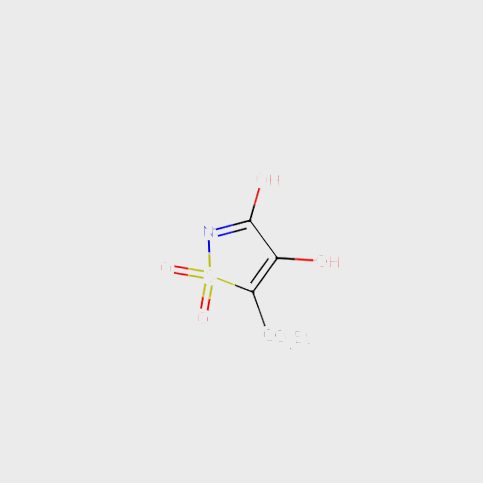 CCOC(=O)C1=C(O)C(O)=NS1(=O)=O